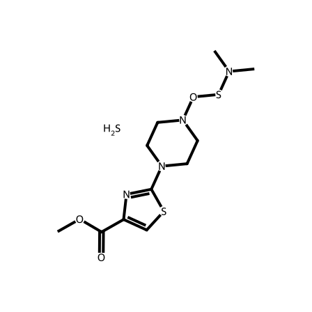 COC(=O)c1csc(N2CCN(OSN(C)C)CC2)n1.S